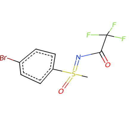 CS(=O)(=NC(=O)C(F)(F)F)c1ccc(Br)cc1